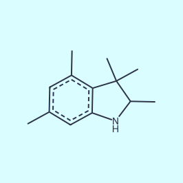 Cc1cc(C)c2c(c1)NC(C)C2(C)C